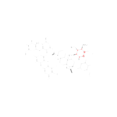 C=C1C[C@@]23CC[C@H]4[C@@](C)(CCC[C@@]4(C)C(=O)OC4OC(CO)C(O)C(CC5OC(CO)C(O)C(O)C5O)C4OC4OC(C)C(O)C(OC5CC(CO)C(O)C(O)C5O)C4O)[C@@H]2CC[C@]1(OC1OC(CO)C(O)C(OC2OC(CO)C(O)C(O)C2O)C1OC1OC(CO)C(O)C(O)C1O)C3